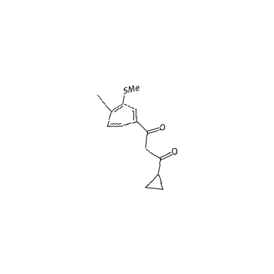 CSc1cc(C(=O)CC(=O)C2CC2)ccc1C